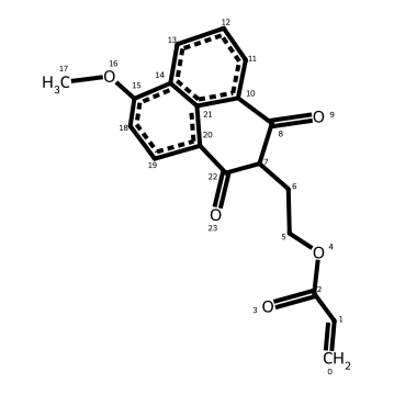 C=CC(=O)OCCC1C(=O)c2cccc3c(OC)ccc(c23)C1=O